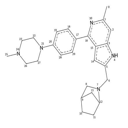 Cc1cc2[nH]c(CN3CC4CCC3C4)cc2c(-c2ccc(N3CCN(C)CC3)cc2)n1